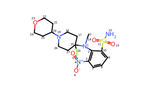 CN(c1c([N+](=O)[O-])cccc1S(N)(=O)=O)C1(F)CCN(C2CCOCC2)CC1